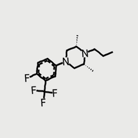 CCCN1[C@H](C)CN(c2ccc(F)c(C(F)(F)F)c2)C[C@@H]1C